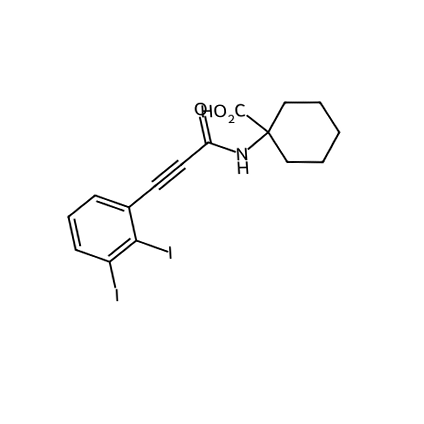 O=C(C#Cc1cccc(I)c1I)NC1(C(=O)O)CCCCC1